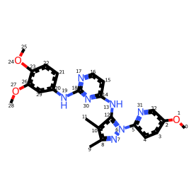 COc1ccc(-n2nc(C)c(C)c2Nc2ccnc(Nc3ccc(OC)c(OC)c3)n2)nc1